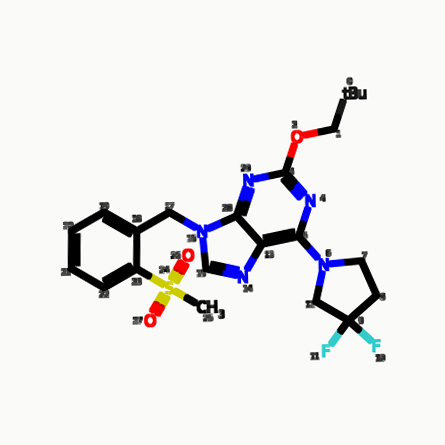 CC(C)(C)COc1nc(N2CCC(F)(F)C2)c2ncn(Cc3ccccc3S(C)(=O)=O)c2n1